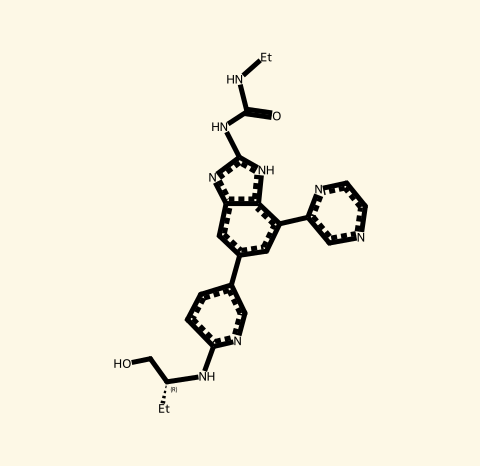 CCNC(=O)Nc1nc2cc(-c3ccc(N[C@H](CC)CO)nc3)cc(-c3cnccn3)c2[nH]1